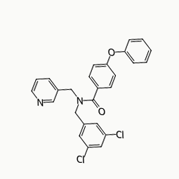 O=C(c1ccc(Oc2ccccc2)cc1)N(Cc1cccnc1)Cc1cc(Cl)cc(Cl)c1